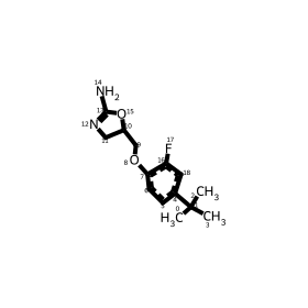 CC(C)(C)c1ccc(OCC2CN=C(N)O2)c(F)c1